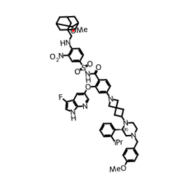 COc1ccc(CN2CCN(C3CC4(C3)CN(c3ccc(C(=O)NS(=O)(=O)c5ccc(NCC67CC8CC(C6)C(OC)C(C8)C7)c([N+](=O)[O-])c5)c(Oc5cnc6[nH]cc(F)c6c5)c3)C4)[C@H](c3ccccc3C(C)C)C2)cc1